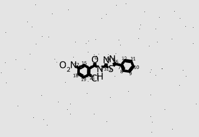 O=C(Nc1nnc(-c2ccccc2)s1)c1cc([N+](=O)[O-])ccc1Cl